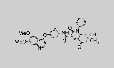 COc1cc2nccc(Oc3ccc(NC(=O)c4cc5c(n(-c6ccccc6)c4=O)CC(C)(C)CC5=O)nc3)c2cc1OC